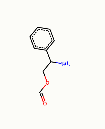 NC(COC=O)c1ccccc1